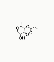 CCC(=O)OC1C(=O)C(O)COC1C